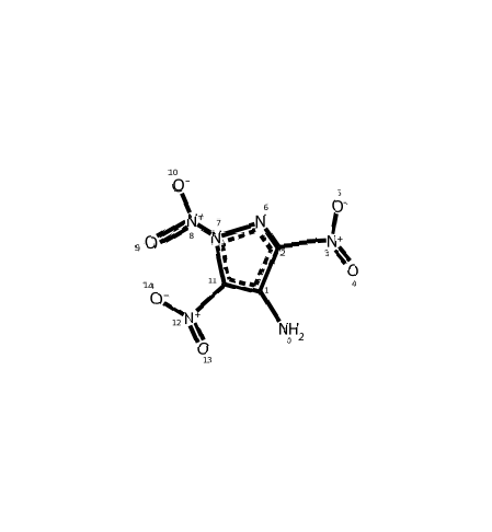 Nc1c([N+](=O)[O-])nn([N+](=O)[O-])c1[N+](=O)[O-]